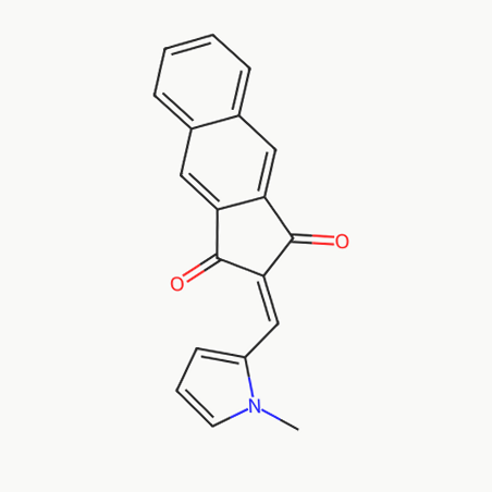 Cn1cccc1C=C1C(=O)c2cc3ccccc3cc2C1=O